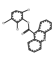 O=C(Oc1c(Cl)ccc(Cl)c1Cl)c1c2ccccc2nc2ccccc12